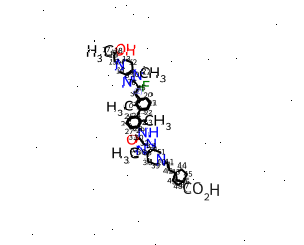 Cc1c(/C=C(\F)c2nc3c(n2C)CCN(C[C@@H](C)O)C3)cccc1-c1cccc(NC(=O)c2nc3c(n2C)CCN(CCC24CCC(C(=O)O)(CC2)C4)C3)c1C